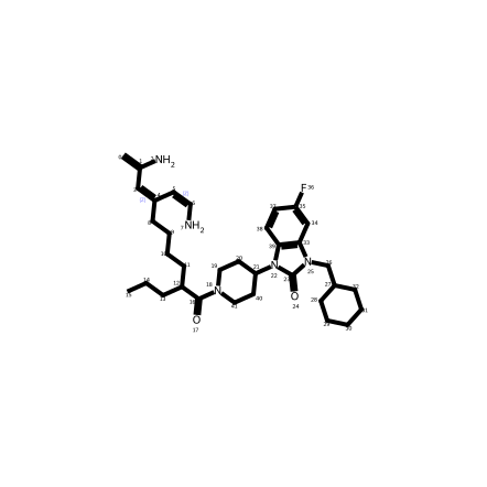 C=C(N)/C=C(\C=C/N)CCCCC(CCC)C(=O)N1CCC(n2c(=O)n(CC3CCCCC3)c3cc(F)ccc32)CC1